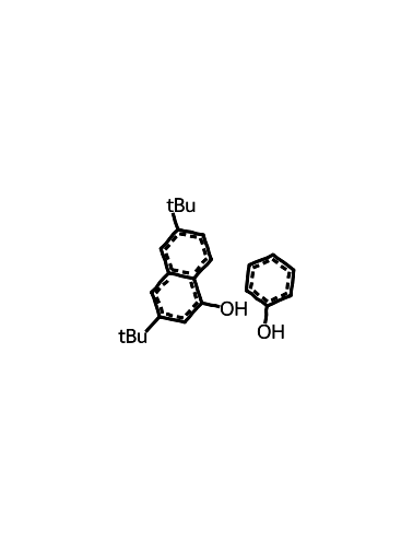 CC(C)(C)c1ccc2c(O)cc(C(C)(C)C)cc2c1.Oc1ccccc1